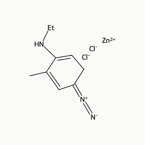 CCNC1=CCC(=[N+]=[N-])C=C1C.[Cl-].[Cl-].[Zn+2]